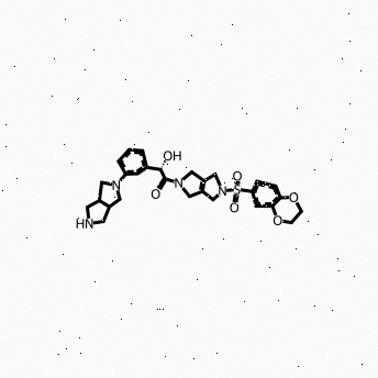 O=C([C@@H](O)c1cccc(N2CC3CNCC3C2)c1)N1CC2=C(C1)CN(S(=O)(=O)c1ccc3c(c1)OCCO3)C2